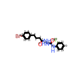 O=C(CCCc1ccc(Br)cc1)NNC(=O)Nc1ccccc1F